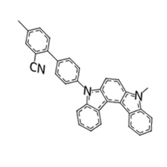 Cc1ccc(-c2ccc(-n3c4ccccc4c4c5c6ccccc6n(C)c5ccc43)cc2)c(C#N)c1